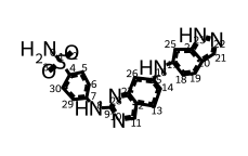 NS(=O)(=O)c1ccc(Nc2ncc3ccc(Nc4ccc5cn[nH]c5c4)cc3n2)cc1